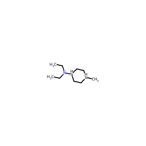 CCN(CC)[SiH]1CC[SiH](C)CC1